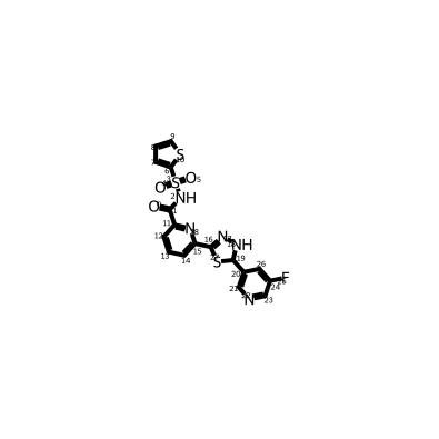 O=C(NS(=O)(=O)c1cccs1)c1cccc(C2=NNC(c3cncc(F)c3)S2)n1